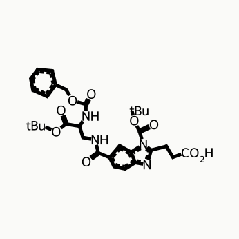 CC(C)(C)OC(=O)C(CNC(=O)c1ccc2nc(CCC(=O)O)n(C(=O)OC(C)(C)C)c2c1)NC(=O)OCc1ccccc1